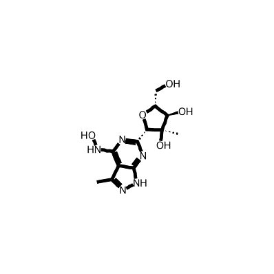 Cc1n[nH]c2nc([C@@H]3O[C@H](CO)[C@@H](O)[C@@]3(C)O)nc(NO)c12